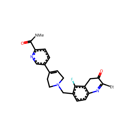 CCC1=Nc2ccc(CN3CC=C(c4ccc(C(=O)NC)nc4)CC3)c(F)c2CC1=O